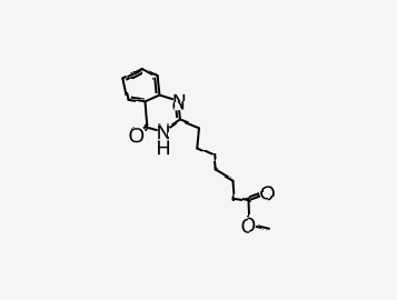 COC(=O)CCCCCCc1nc2ccccc2c(=O)[nH]1